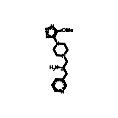 COc1nsnc1N1CCN(C[C@H](N)Cc2cccnc2)CC1